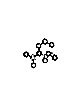 c1ccc(-c2cccc(-c3cccc(-c4cc(-c5nc(-c6ccccc6)nc(-c6ccccc6)n5)cc(-n5c6ccccc6c6c7c(ccc65)sc5ccccc57)c4)c3)c2)cc1